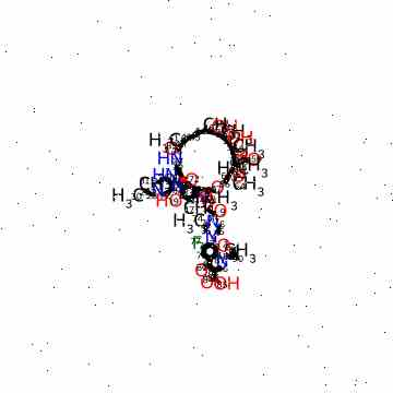 COc1c(N2CCN(C(=O)CO/N=C3/c4c5c(C)c(O)c6c4C4=NC7(CCN(CC(C)C)CC7)NC4=C(NC(=O)/C(C)=C\C=C\[C@H](C)[C@H](O)[C@@H](C)[C@@H](O)[C@@H](C)[C@H](OC(C)=O)[C@H](C)[C@@H](OC)/C=C/O[C@@]3(C)O5)C6=O)C(C)C2)c(F)cc2c(=O)c(C(=O)O)cn(C3CC3)c12